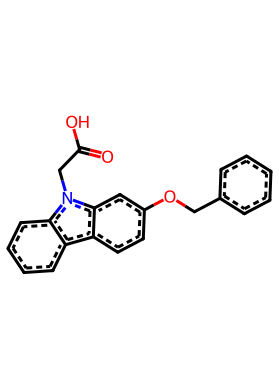 O=C(O)Cn1c2ccccc2c2ccc(OCc3ccccc3)cc21